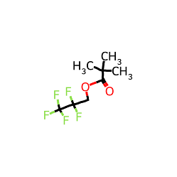 CC(C)(C)C(=O)OCC(F)(F)C(F)(F)F